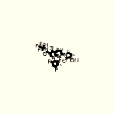 CC(C)(NC(=O)c1cn(-c2c(F)cc(F)cc2F)c2nc(N3CC[C@@H](O)C3=O)ccc2c1=O)C(F)(F)F